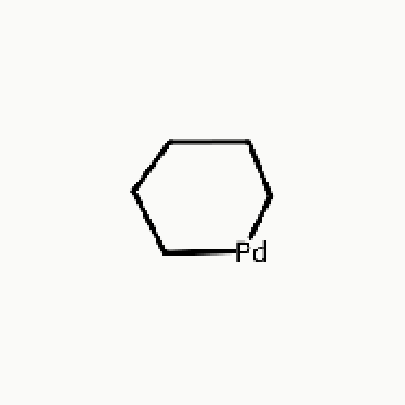 C1C[CH2][Pd][CH2]C1